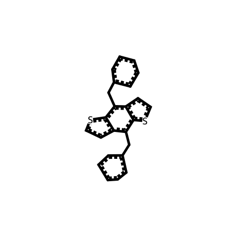 c1ccc(Cc2c3ccsc3c(Cc3ccccc3)c3ccsc23)cc1